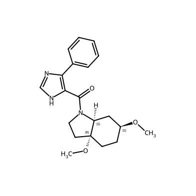 CO[C@H]1CC[C@@]2(OC)CCN(C(=O)c3[nH]cnc3-c3ccccc3)[C@H]2C1